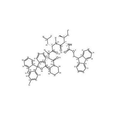 CC[C@H](C)[C@H](NC(=O)OCC1c2ccccc2-c2ccccc21)C(=O)N(C)[C@@H](CC(C)C)C(=O)N(C)[C@@H](CC(=O)OC(c1ccccc1)(c1ccc(C)cc1)c1ccccc1Cl)C(=O)N1CCCCC1